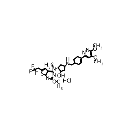 COc1nc(N(C)[C@H]2C[C@@H](NCC3CC=C(c4cc(OC)c(OC)nn4)CC3)C[C@H]2O)c2cc(CC(F)(F)F)sc2n1.Cl